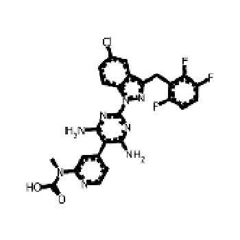 CN(C(=O)O)c1cc(-c2c(N)nc(-n3nc(Cc4c(F)ccc(F)c4F)c4cc(Cl)ccc43)nc2N)ccn1